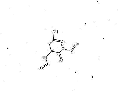 O=CNC(CC(=O)O)C(=O)OC=O